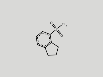 O=S(=O)(c1cccc2c1CCC2)C(F)(F)F